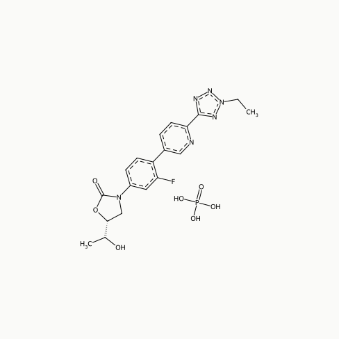 CCn1nnc(-c2ccc(-c3ccc(N4C[C@H](C(C)O)OC4=O)cc3F)cn2)n1.O=P(O)(O)O